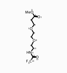 COC(=O)CCOCCOCCNC(=O)C(F)(F)F